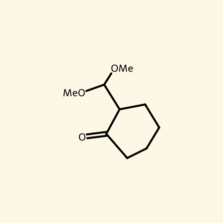 COC(OC)C1CCCCC1=O